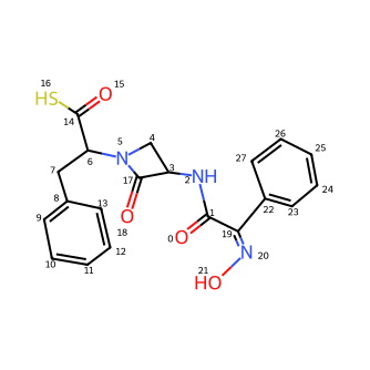 O=C(NC1CN(C(Cc2ccccc2)C(=O)S)C1=O)/C(=N\O)c1ccccc1